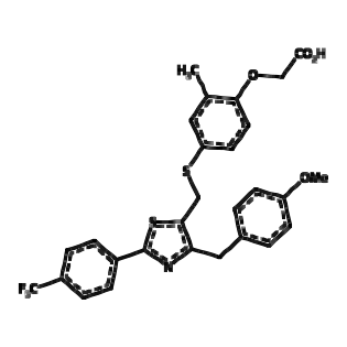 COc1ccc(Cc2nc(-c3ccc(C(F)(F)F)cc3)sc2CSc2ccc(OCC(=O)O)c(C)c2)cc1